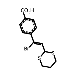 O=C(O)c1ccc(/C(Br)=C/C2SCCCS2)cc1